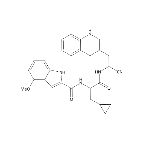 COc1cccc2[nH]c(C(=O)NC(CC3CC3)C(=O)NC(C#N)CC3CNc4ccccc4C3)cc12